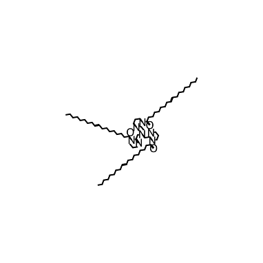 CCCCCCCCC=CCCCCCCCC(=O)N1CCCN=C1CN(CC1=NCCCN1C(=O)CCCCCCCC=CCCCCCCCC)CC1=NCCCN1C(=O)CCCCCCCC=CCCCCCCCC